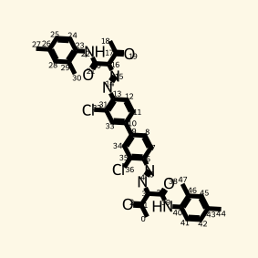 CC(=O)C(/N=N/c1ccc(-c2ccc(/N=N/C(C(C)=O)C(=O)Nc3ccc(C)cc3C)c(Cl)c2)cc1Cl)C(=O)Nc1ccc(C)cc1C